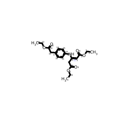 CCOC(=O)/C=C(/CC(=O)OCC)Nc1ccc(CC(=O)OCC)cc1